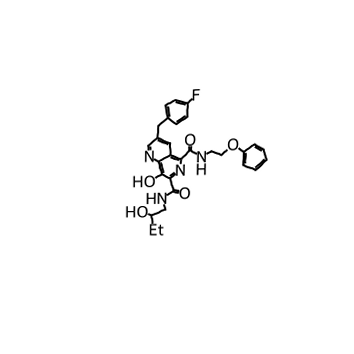 CCC(O)CNC(=O)c1nc(C(=O)NCCOc2ccccc2)c2cc(Cc3ccc(F)cc3)cnc2c1O